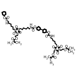 C=C(C)C(=O)OCCn1c(=O)n(CCCCCCNC(=O)Oc2ccccc2)c(=O)n(CCCCCCNC(=O)Oc2ccc(-c3ccc(OC(=O)NCCCCCCn4c(=O)n(CCOC(=O)C(=C)C)c(=O)n(CCOC(=O)C(=C)C)c4=O)cc3)cc2)c1=O